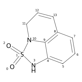 O=S1(=O)Nc2cccc3c2N1CC=C3